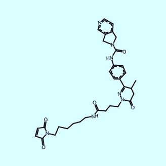 CC1CC(=O)N(CCCC(=O)NCCCCCCN2C(=O)C=CC2=O)N=C1c1ccc(NC(=O)N2Cc3ccncc3C2)cc1